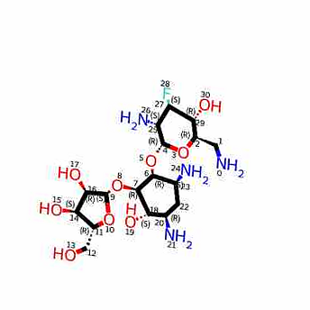 NC[C@H]1O[C@H](O[C@H]2[C@H](O[C@@H]3O[C@H](CO)[C@@H](O)[C@H]3O)[C@@H](O)[C@H](N)C[C@@H]2N)[C@H](N)[C@H](F)[C@@H]1O